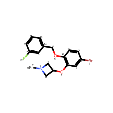 CCCN1CC(Oc2cc(Br)ccc2OCc2cccc(F)c2)C1